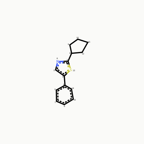 c1ccc(-c2cnc(C3CCCC3)s2)cc1